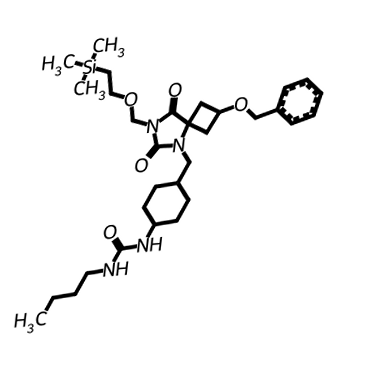 CCCCNC(=O)NC1CCC(CN2C(=O)N(COCC[Si](C)(C)C)C(=O)C23CC(OCc2ccccc2)C3)CC1